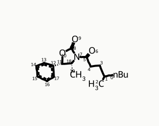 CCCCC(C)CCC(=O)N1C(=O)O[C@@H](c2ccccc2)[C@H]1C